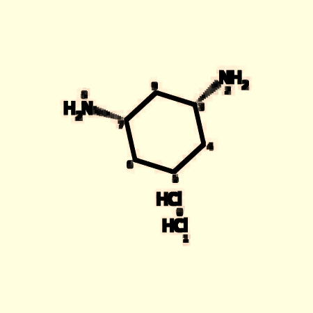 Cl.Cl.N[C@@H]1CCC[C@H](N)C1